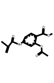 C=C(C)C(=O)Nc1ccc(C(=O)OC)c(OC(C)=O)c1